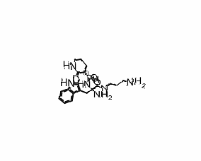 NCCCNC(=O)C(N)(Cc1c[nH]c2ccccc12)N[PH](=O)[C@H]1CCCNC1=O